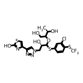 C[C@@H](O)C(CO)OC(Sc1ccc(SC(F)(F)F)c(Cl)c1)[C@@H](O)Cn1cc(-c2csc(O)n2)nn1